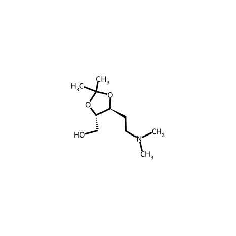 CN(C)CC[C@@H]1OC(C)(C)O[C@H]1CO